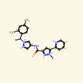 CC(c1ccc(C(F)(F)F)cc1C(F)(F)F)n1cc(NC(=O)c2cc(-c3ccccn3)n(C)n2)cn1